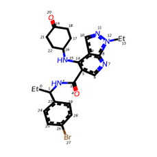 CCC(NC(=O)c1cnc2c(cnn2CC)c1NC1CCC(=O)CC1)c1ccc(Br)cc1